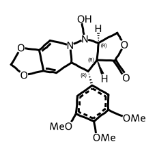 COc1cc([C@@H]2C3C=C4OCOC4=CN3N(O)[C@H]3COC(=O)[C@H]23)cc(OC)c1OC